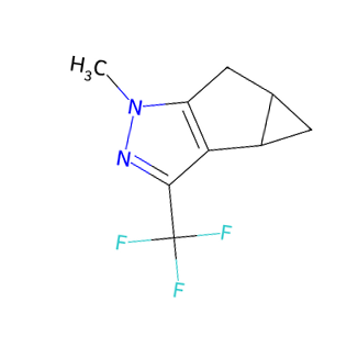 Cn1nc(C(F)(F)F)c2c1CC1CC21